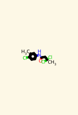 Cc1cc(NC(=O)CC(C)(Cl)Cl)ccc1Cl